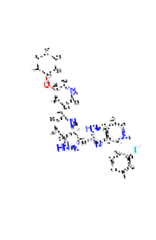 Fc1ccccc1-c1nccc2[nH]c(-c3n[nH]c4ccc(-c5cncc(OC6CCCCC6)c5)nc34)nc12